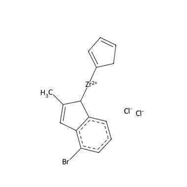 CC1=Cc2c(Br)cccc2[CH]1[Zr+2][C]1=CC=CC1.[Cl-].[Cl-]